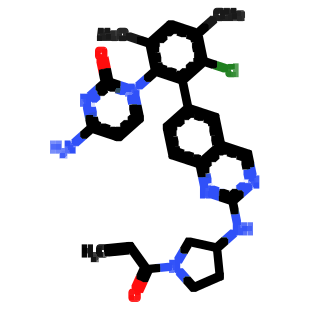 C=CC(=O)N1CCC(Nc2ncc3cc(-c4c(Cl)c(OC)cc(OC)c4-n4ccc(N)nc4=O)ccc3n2)C1